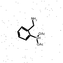 CC(=O)O[SiH](OC(C)=O)c1ccccc1CN